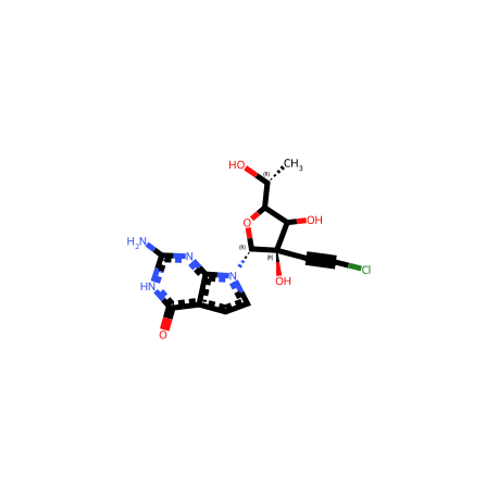 C[C@@H](O)C1O[C@@H](n2ccc3c(=O)[nH]c(N)nc32)[C@@](O)(C#CCl)C1O